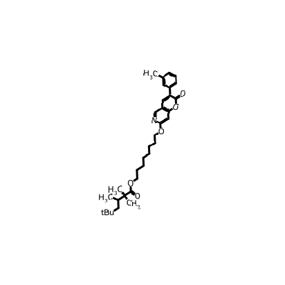 Cc1cccc(-c2cc3cnc(OCCCCCCCCOC(=O)C(C)(C)C(C)CC(C)(C)C)cc3oc2=O)c1